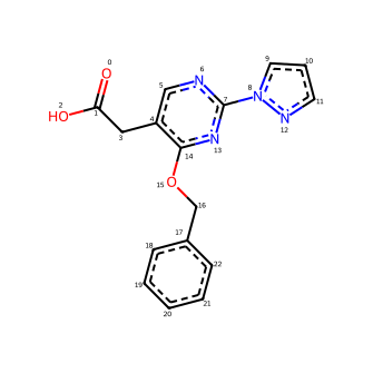 O=C(O)Cc1cnc(-n2cccn2)nc1OCc1ccccc1